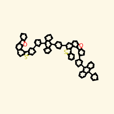 c1ccc(-c2c3ccccc3c(-c3cccc(-c4ccc5oc6ccc7cc(-c8ccc(-c9c%10ccccc%10c(-c%10cccc(-c%11ccc%12sc%13ccc%14ccc%15c%16ccccc%16oc%15c%14c%13c%12c%11)c%10)c%10ccccc9%10)cc8)c8sc9ccccc9c8c7c6c5c4)c3)c3ccccc23)cc1